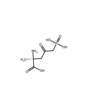 C[C@](N)(CC(=O)CP(=O)(O)O)C(=O)O